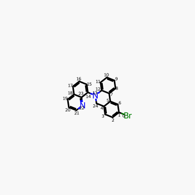 Brc1ccc2c(c1)-c1ccccc1N(c1cccc3cccnc13)C2